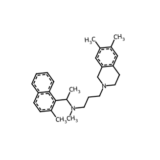 Cc1cc2c(cc1C)CN(CCCN(C)C(C)c1c(C)ccc3ccccc13)CC2